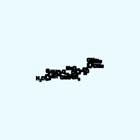 C=C(CCCOc1ccc(C2NC(=O)c3cc(C)ccc3N2)cc1OC)Oc1c(OC)cc(-c2cc(-c3cc(OC)c(OC)c(OC)c3)on2)cc1OC